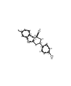 Cc1ccc2c(c1)nc1n2C(=O)CC(c2ccc(Cl)cc2)C1